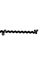 C=CC(=O)OCCCCCCCCCCCCCCCCC[Si](C)(C)F